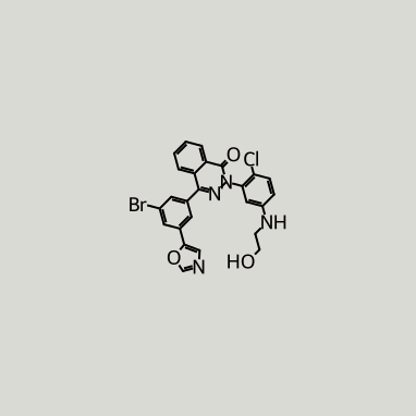 O=c1c2ccccc2c(-c2cc(Br)cc(-c3cnco3)c2)nn1-c1cc(NCCO)ccc1Cl